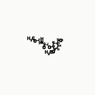 COCCNC(=O)COc1cc(C=O)ccc1OC